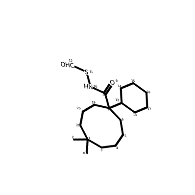 CC1(C)CCCCC(C(=O)NSC=O)(C2CCCCC2)CCC1